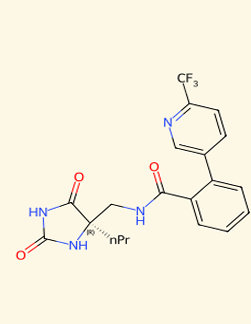 CCC[C@]1(CNC(=O)c2ccccc2-c2ccc(C(F)(F)F)nc2)NC(=O)NC1=O